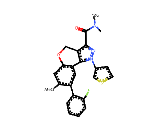 COc1cc2c(cc1-c1ccccc1F)-c1c(c(C(=O)N(C)C(C)(C)C)nn1-c1ccsc1)CO2